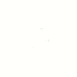 C=CC(=O)O.[Mo]